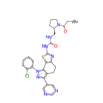 CC(C)(C)CC(=O)N1CCC[C@@H]1CNC(=O)Nc1nc2c(s1)-c1c(c(-c3cncnc3)nn1-c1ccccc1Cl)CC2